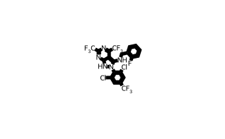 Fc1ccccc1CNC1=C2C(C(F)(F)F)=NC(C(F)(F)F)=NC2NN1c1c(Cl)cc(C(F)(F)F)cc1Cl